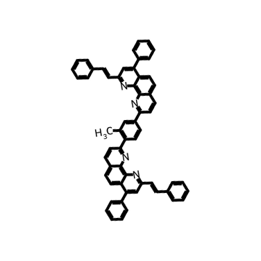 Cc1cc(-c2ccc3ccc4c(-c5ccccc5)cc(/C=C/c5ccccc5)nc4c3n2)ccc1-c1ccc2ccc3c(-c4ccccc4)cc(/C=C/c4ccccc4)nc3c2n1